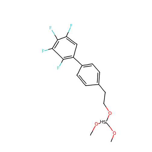 CO[SiH](OC)OCCc1ccc(-c2cc(F)c(F)c(F)c2F)cc1